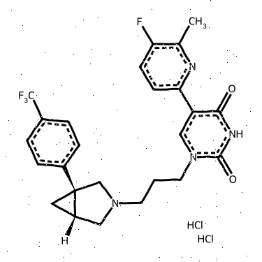 Cc1nc(-c2cn(CCCN3C[C@@H]4C[C@]4(c4ccc(C(F)(F)F)cc4)C3)c(=O)[nH]c2=O)ccc1F.Cl.Cl